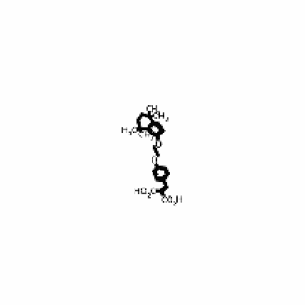 CC1(C)CCC(C)(C)c2cc(OCCOc3ccc(C=C(C(=O)O)C(=O)O)cc3)ccc21